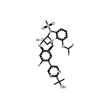 CC(C)(O)c1ncc(-c2cc3c(cc2F)=N[C@@H]2C[N@@+]4(C=3)c3c(OC(F)F)cccc3N(S(C)(=O)=O)C24)cn1